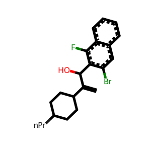 C=C(C1CCC(CCC)CC1)C(O)c1c(Br)cc2ccccc2c1F